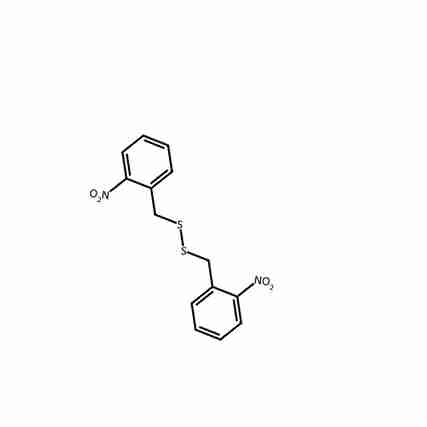 O=[N+]([O-])c1ccccc1CSSCc1ccccc1[N+](=O)[O-]